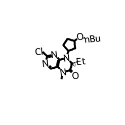 CCCCOC1CCC(N2c3nc(Cl)ncc3N(C)C(=O)[C@H]2CC)C1